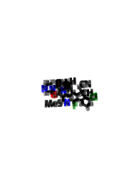 CSc1nc2c(F)c(-c3cccc(Cl)c3C)c(CCC#N)cc2c2c1cc([C@@H](C)n1ccncc1=O)n2[C@@H]1[C@@H]2CC[C@H]1C2